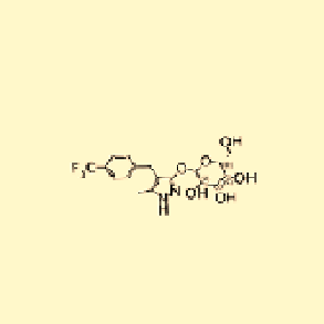 Cc1[nH]nc(OC2O[C@H](CO)[C@@H](O)[C@H](O)[C@H]2O)c1Cc1ccc(C(F)(F)F)cc1